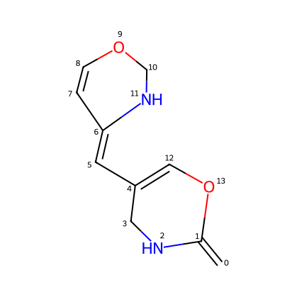 C=C1NCC(/C=C2/C=COCN2)=CO1